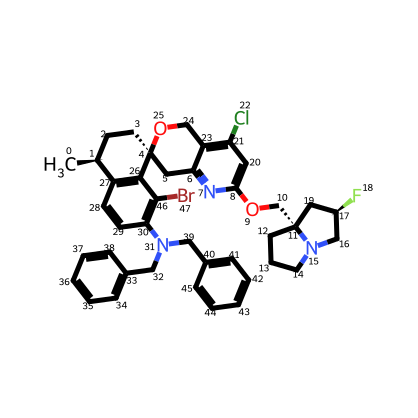 C[C@H]1CC[C@]2(Cc3nc(OC[C@@]45CCCN4C[C@H](F)C5)cc(Cl)c3CO2)c2c1ccc(N(Cc1ccccc1)Cc1ccccc1)c2Br